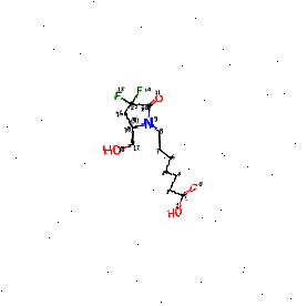 O=C(O)CCCCCCN1C(=O)C(F)(F)C[C@@H]1CO